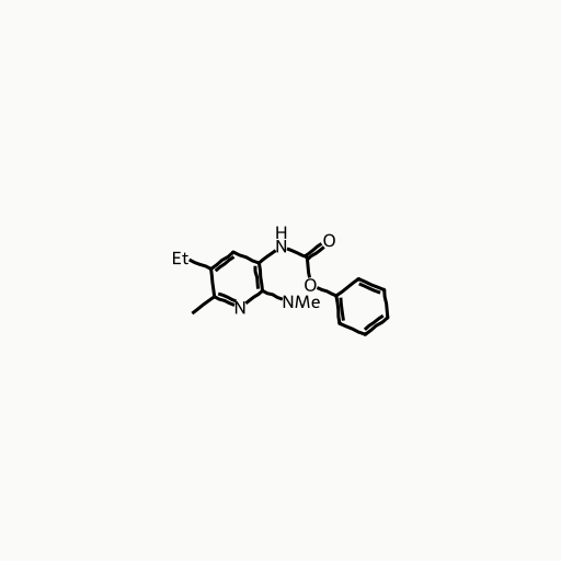 CCc1cc(NC(=O)Oc2ccccc2)c(NC)nc1C